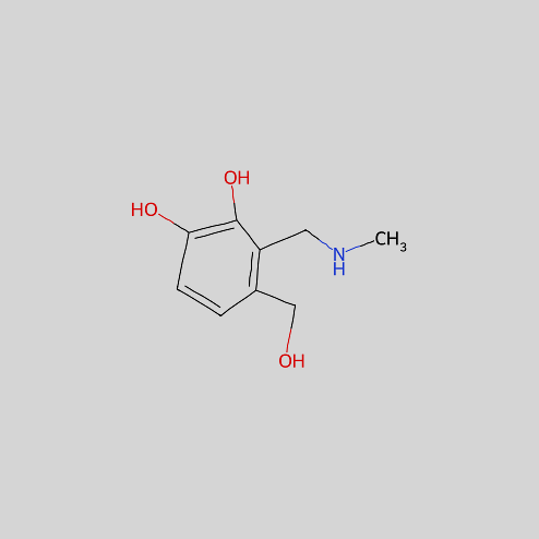 CNCc1c(CO)ccc(O)c1O